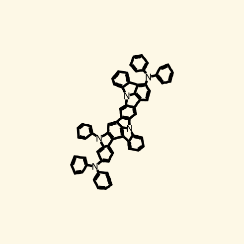 c1ccc(N(c2ccccc2)c2ccc3c4c5c6ccccc6n6c7cc8c9ccc(N(c%10ccccc%10)c%10ccccc%10)c%10c%11ccccc%11n(c8cc7c(cc4n(-c4ccccc4)c3c2)c56)c9%10)cc1